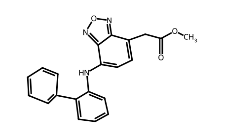 COC(=O)Cc1ccc(Nc2ccccc2-c2ccccc2)c2nonc12